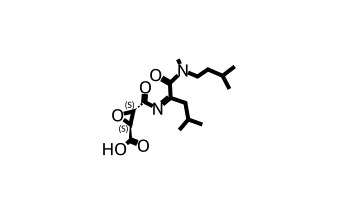 CC(C)CCN(C)C(=O)C(CC(C)C)=NC(=O)[C@H]1O[C@@H]1C(=O)O